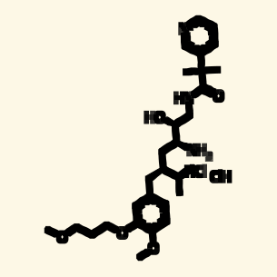 COCCCOc1cc(C[C@@H](C[C@H](N)[C@@H](O)CNC(=O)C(C)(C)c2cccnc2)C(C)C)ccc1OC.Cl.Cl